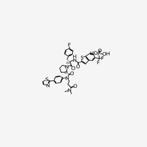 CN(C)C(=O)CCN(C(=O)[C@@H]1CCCN1C(=O)[C@H](Cc1ccc(F)cc1)NC(=O)c1cc2cc(C(F)(F)P(=O)(O)O)ccc2s1)c1ccc(-c2nccs2)cc1